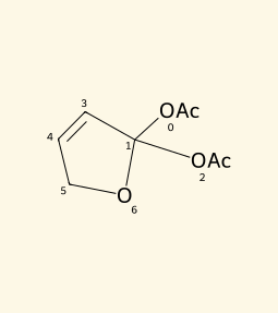 CC(=O)OC1(OC(C)=O)C=CCO1